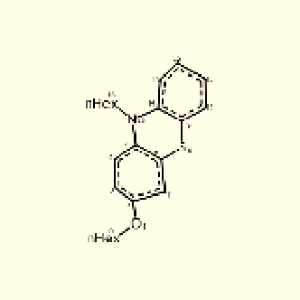 CCCCCCOc1ccc2c(c1)Sc1ccccc1N2CCCCCC